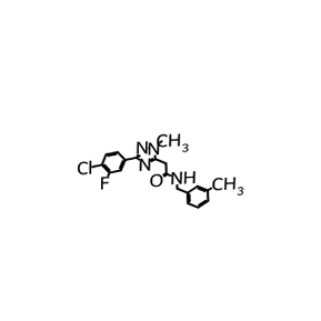 Cc1cccc(CNC(=O)Cc2nc(-c3ccc(Cl)c(F)c3)nn2C)c1